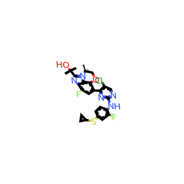 C[C@H]1COc2c(-c3nc(Nc4ccc(SC5CC5)cc4F)ncc3Cl)cc(F)c3nc(C(C)(C)O)n1c23